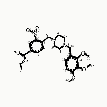 CCOC(=O)c1ccc(CN2CCN(Cc3ccc(OC)c(OC)c3OC)CC2)c([N+](=O)[O-])c1